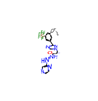 O=C(/C=C\n1cnc(-c2cc(C(F)(F)F)cc(S(F)(F)(F)(F)F)c2)n1)NNc1cnccn1